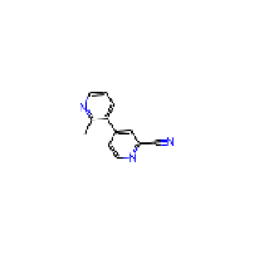 Cc1ncccc1-c1ccnc(C#N)c1